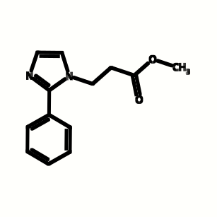 COC(=O)CCn1ccnc1-c1ccccc1